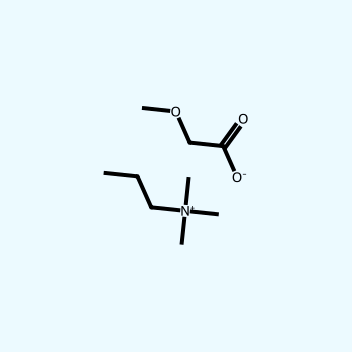 CCC[N+](C)(C)C.COCC(=O)[O-]